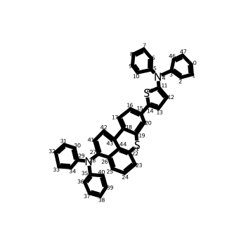 c1ccc(N(c2ccccc2)c2ccc(-c3ccc4c(c3)Sc3cccc5c(N(c6ccccc6)c6ccccc6)ccc-4c35)s2)cc1